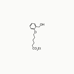 CCOC(=O)CCCCCOc1ccccc1CO